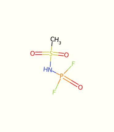 CS(=O)(=O)NP(=O)(F)F